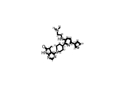 CC1C(=O)Nc2ncnc(N3CCC(c4nc(-c5ccsc5)ccc4NCCN(C)C)CC3)c21